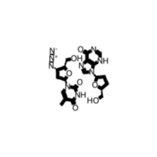 Cc1cn([C@H]2C[C@H](N=[N+]=[N-])[C@@H](CO)O2)c(=O)[nH]c1=O.O=c1nc[nH]c2c1ncn2[C@H]1CC[C@@H](CO)O1